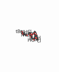 C[C@H]1C(=O)N[C@@H](CO)C(=O)N[C@@]2(Cc3ccc(Cl)cc3)CCCN(C2)C(=O)[C@H](CC2CC2)CC(=O)N1Cc1c(F)cc(Cl)cc1Oc1ccc(-c2cnc(CNC(C)(C)C)n2C)cc1